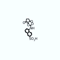 O=C(Nc1cccc2cc(S(=O)(=O)O)ccc12)ON1C(=O)CCC1=O